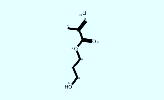 C=C(C)C(=O)OCCCO.[Li]